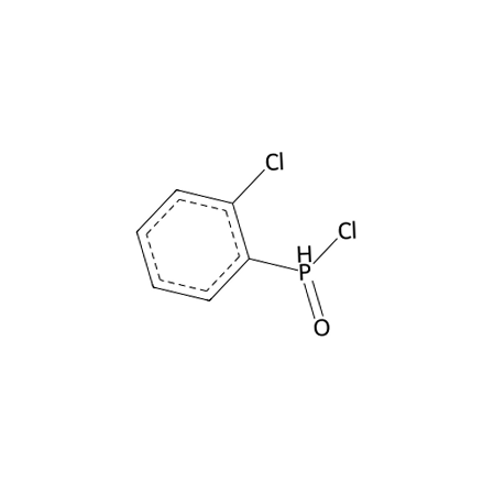 O=[PH](Cl)c1ccccc1Cl